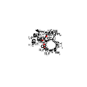 Cc1ccc(N(C(=O)OCC2(SSCC(=O)NCC[C@@H](NC(=O)CCCCCC(C)C)C(=O)N[C@H](C(=O)N[C@@H](CCN)C(=O)N[C@H]3CCNC(=O)[C@H]([C@@H](C)O)NC(=O)[C@H](CCN)NC(=O)[C@H](CCN)NC(=O)[C@H](CC(C)C)NC(=O)[C@@H](Cc4ccccc4)NC(=O)[C@H](CCN)NC3=O)[C@@H](C)O)CCC2)c2nccc(N(C)c3ccc4c(C)n(C)nc4c3)n2)cc1S(N)(=O)=O